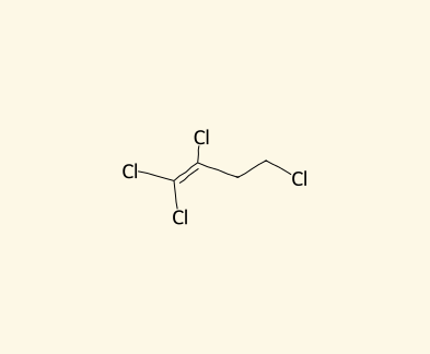 ClCCC(Cl)=C(Cl)Cl